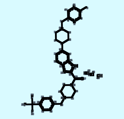 Cc1cnc(CN2CCC(c3ccc4nc(C(=O)N5CCN(Cc6ccc(C(F)(F)F)cc6)CC5)[nH]c4c3)CC2)cn1.Cl.Cl.Cl